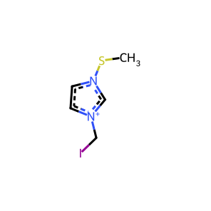 CSn1cc[n+](CI)c1